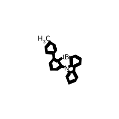 Cc1ccc(-c2cccc(-n3c4ccccc4c4ccccc43)c2C(C)(C)C)cc1